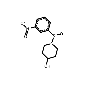 O=[N+]([O-])c1cccc([S+]([O-])N2CCC(O)CC2)c1